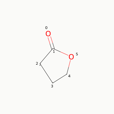 O=C1[CH]CCO1